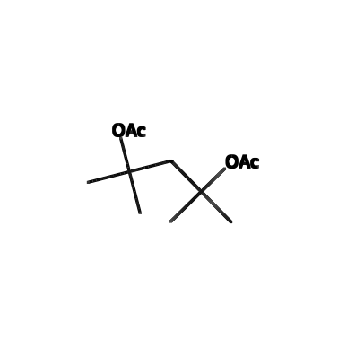 CC(=O)OC(C)(C)CC(C)(C)OC(C)=O